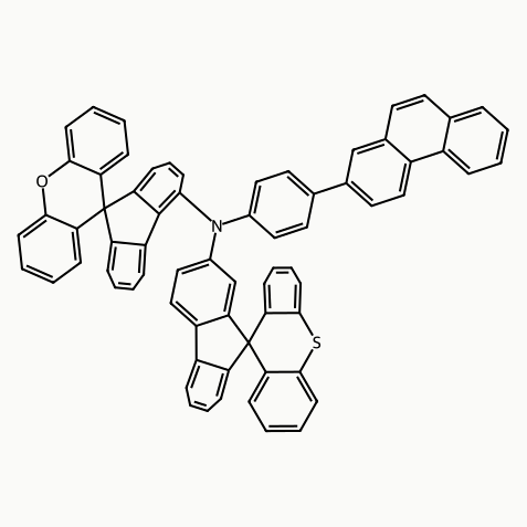 c1ccc2c(c1)Oc1ccccc1C21c2ccccc2-c2c(N(c3ccc(-c4ccc5c(ccc6ccccc65)c4)cc3)c3ccc4c(c3)C3(c5ccccc5Sc5ccccc53)c3ccccc3-4)cccc21